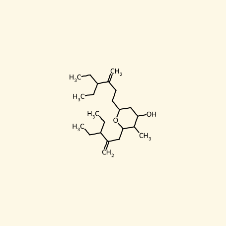 C=C(CCC1CC(O)C(C)C(CC(=C)C(CC)CC)O1)C(CC)CC